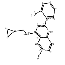 Oc1ccccc1-c1nc(NCC2CC2)c2cc(F)ccc2n1